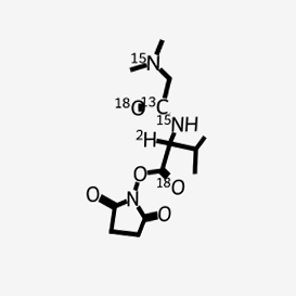 [2H]C([15NH][13C](=[18O])C[15N](C)C)(C(=[18O])ON1C(=O)CCC1=O)C(C)C